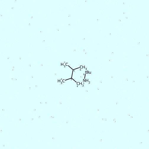 CC(C)(C)N.CC(C)C(C)C